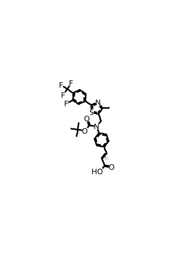 Cc1nc(-c2ccc(C(F)(F)F)c(F)c2)sc1CN(C(=O)OC(C)(C)C)c1ccc(/C=C/C(=O)O)cc1